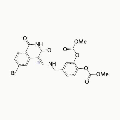 COC(=O)Oc1ccc(CN/C=C2\C(=O)NC(=O)c3ccc(Br)cc32)cc1OC(=O)OC